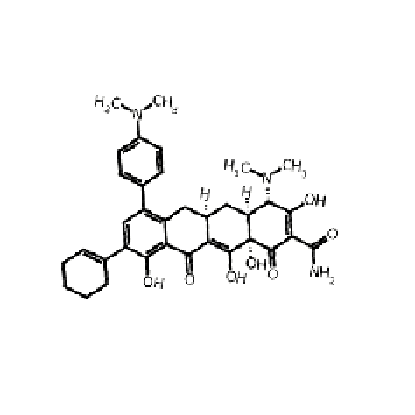 CN(C)c1ccc(-c2cc(C3=CCCCC3)c(O)c3c2C[C@H]2C[C@H]4[C@H](N(C)C)C(O)=C(C(N)=O)C(=O)[C@@]4(O)C(O)=C2C3=O)cc1